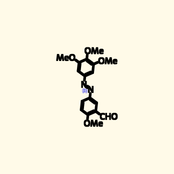 COc1ccc(/N=N/c2cc(OC)c(OC)c(OC)c2)cc1C=O